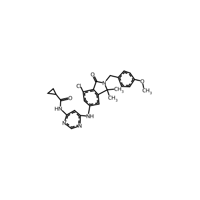 COc1ccc(CN2C(=O)c3c(Cl)cc(Nc4cc(NC(=O)C5CC5)ncn4)cc3C2(C)C)cc1